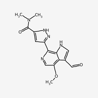 COc1cnc(-c2cc(C(=O)N(C)C)[nH]n2)c2[nH]cc(C=O)c12